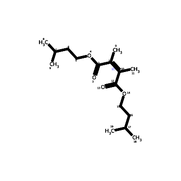 C/C(C(=O)OCCC(C)C)=C(\C)C(=O)OCCC(C)C